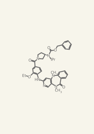 CCOc1cc(C(=O)N2CC[C@@H](N(C(=O)OCc3ccccc3)C(C)C)C2)ccc1Nc1cc2c(cn1)N(C)C(=O)c1ccccc1N2C